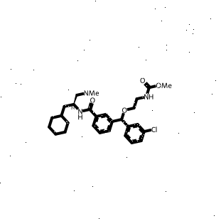 CNC[C@H](CC1CCCCC1)NC(=O)c1cccc(C(OCCNC(=O)OC)c2cccc(Cl)c2)c1